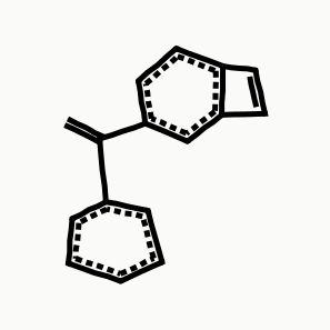 C=C(c1ccccc1)c1ccc2c(c1)C=C2